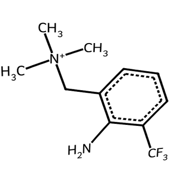 C[N+](C)(C)Cc1cccc(C(F)(F)F)c1N